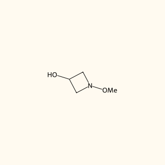 CON1CC(O)C1